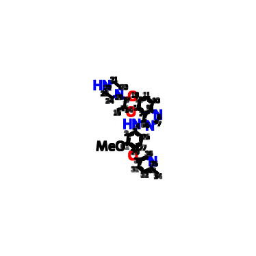 COc1cc(Nc2ncnc3cccc(OC(C)C(=O)N4CCNCC4)c23)ccc1Oc1ccc(C)nc1